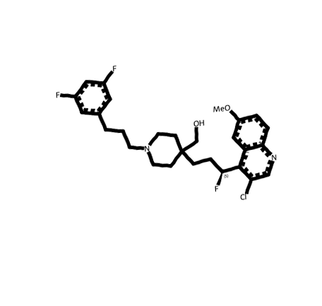 COc1ccc2ncc(Cl)c([C@@H](F)CCC3(CO)CCN(CCCc4cc(F)cc(F)c4)CC3)c2c1